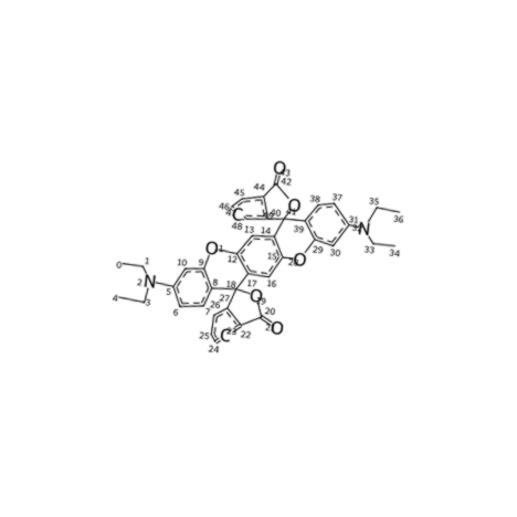 CCN(CC)c1ccc2c(c1)Oc1cc3c(cc1C21OC(=O)c2ccccc21)Oc1cc(N(CC)CC)ccc1C31OC(=O)c2ccccc21